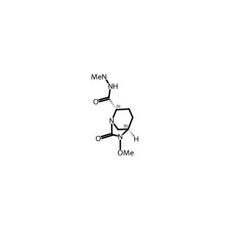 CNNC(=O)[C@@H]1CC[C@@H]2CN1C(=O)N2OC